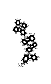 N#Cc1ccc2c(c1)c1ccccc1n2-c1ccc2c(c1)c1ccccc1n2-c1cccc2c1c1ccccc1n2-c1ccc([Si](c2ccccc2)(c2ccccc2)c2ccccc2)cc1